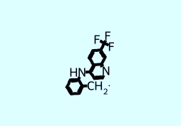 [CH2]c1ccccc1Nc1ccnc2cc(C(F)(F)F)ccc12